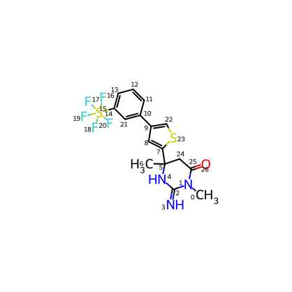 CN1C(=N)NC(C)(c2cc(-c3cccc(S(F)(F)(F)(F)F)c3)cs2)CC1=O